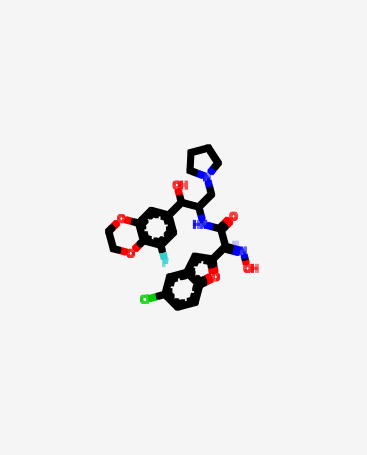 O=C(NC(CN1CCCC1)C(O)c1cc(F)c2c(c1)OCCO2)/C(=N/O)c1cc2cc(Cl)ccc2o1